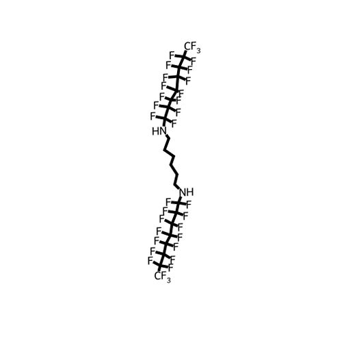 FC(F)(F)C(F)(F)C(F)(F)C(F)(F)C(F)(F)C(F)(F)C(F)(F)C(F)(F)NCCCCCCNC(F)(F)C(F)(F)C(F)(F)C(F)(F)C(F)(F)C(F)(F)C(F)(F)C(F)(F)F